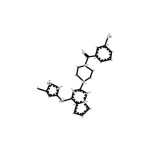 Cc1cc(Nc2nc(N3CCN(C(=O)c4cccc(C#N)c4)CC3)nn3cccc23)n[nH]1